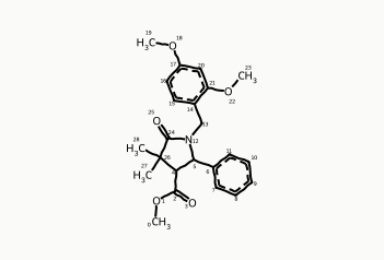 COC(=O)C1C(c2ccccc2)N(Cc2ccc(OC)cc2OC)C(=O)C1(C)C